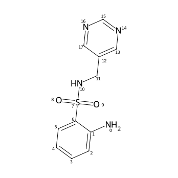 Nc1ccccc1S(=O)(=O)NCc1cncnc1